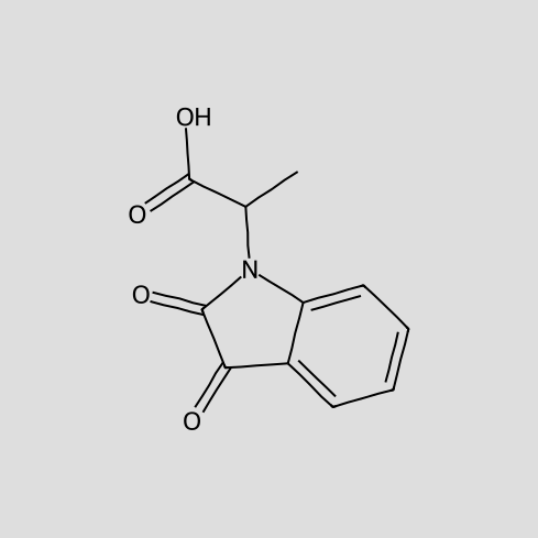 CC(C(=O)O)N1C(=O)C(=O)c2ccccc21